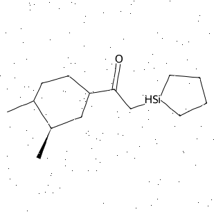 CC1CCC(C(=O)C[SiH]2CCCC2)C[C@H]1C